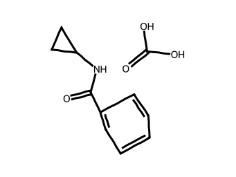 O=C(NC1CC1)c1ccccc1.O=C(O)O